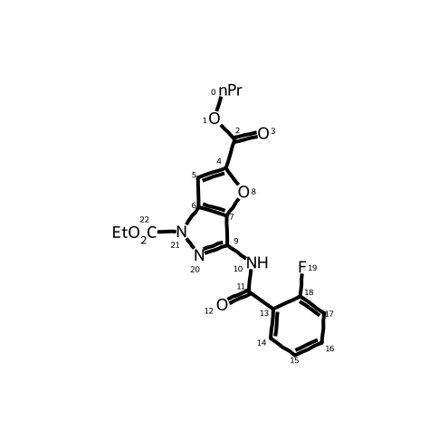 CCCOC(=O)c1cc2c(o1)c(NC(=O)c1ccccc1F)nn2C(=O)OCC